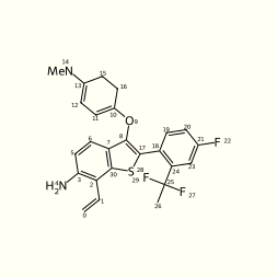 C=Cc1c(N)ccc2c(OC3=CC=C(NC)CC3)c(-c3ccc(F)cc3C(C)(F)F)sc12